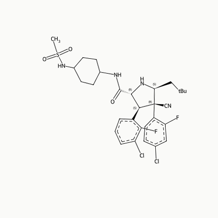 CC(C)(C)C[C@@H]1N[C@@H](C(=O)NC2CCC(NS(C)(=O)=O)CC2)[C@H](c2cccc(Cl)c2F)[C@@]1(C#N)c1ccc(Cl)cc1F